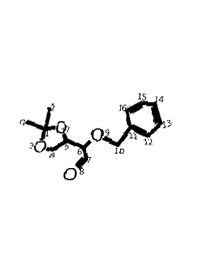 CC1(C)OCC(C(C=O)OCc2ccccc2)O1